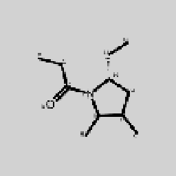 CCC(=O)N1C(C)C(C)C[C@H]1CC